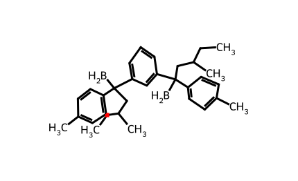 BC(CC(C)CC)(c1ccc(C)cc1)c1cccc(C(B)(CC(C)CC)c2ccc(C)cc2)c1